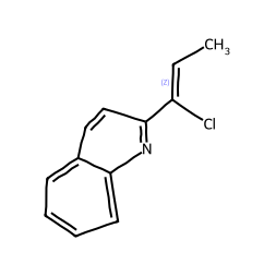 C/C=C(\Cl)c1ccc2ccccc2n1